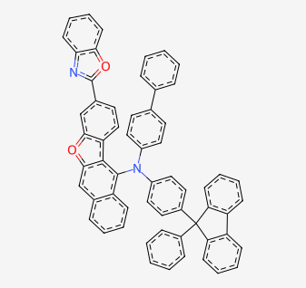 c1ccc(-c2ccc(N(c3ccc(C4(c5ccccc5)c5ccccc5-c5ccccc54)cc3)c3c4ccccc4cc4oc5cc(-c6nc7ccccc7o6)ccc5c34)cc2)cc1